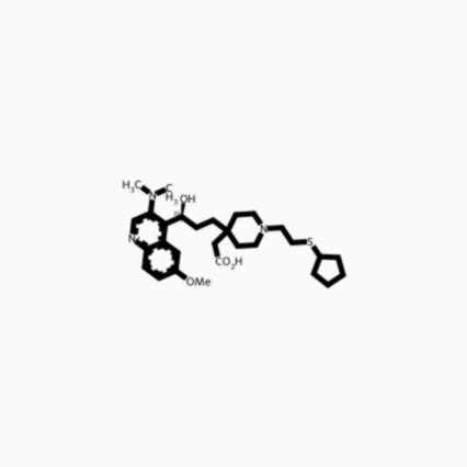 COc1ccc2ncc(N(C)C)c([C@@H](O)CCC3(CC(=O)O)CCN(CCSC4CCCC4)CC3)c2c1